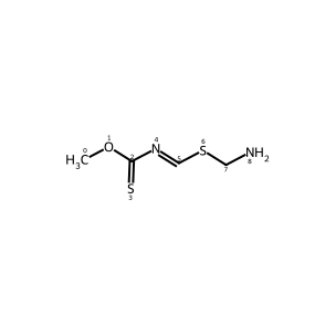 COC(=S)N=CSCN